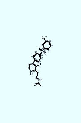 CC(=O)NCCC1NCCc2c1oc1cc(S(=O)(=O)c3cccc(Cl)c3)ccc21